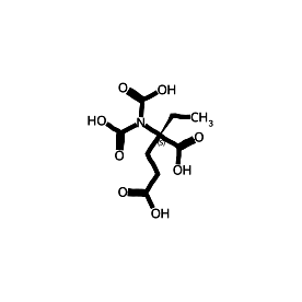 CC[C@](CCC(=O)O)(C(=O)O)N(C(=O)O)C(=O)O